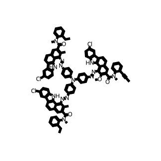 CC#Cc1ccccc1N(C)C(=O)c1cc2ccc3c4cc(Cl)ccc4[nH]c3c2c(N=Nc2ccc(N(c3ccc(N=Nc4c(C)c(C(=O)N(C)c5ccccc5CC)cc5ccc6c7cc(Cl)ccc7[nH]c6c45)cc3)c3ccc(N=Nc4c(C)c(C(=O)N(C)c5ccccc5CC)cc5ccc6c7cc(Cl)ccc7[nH]c6c45)cc3)cc2)c1OC